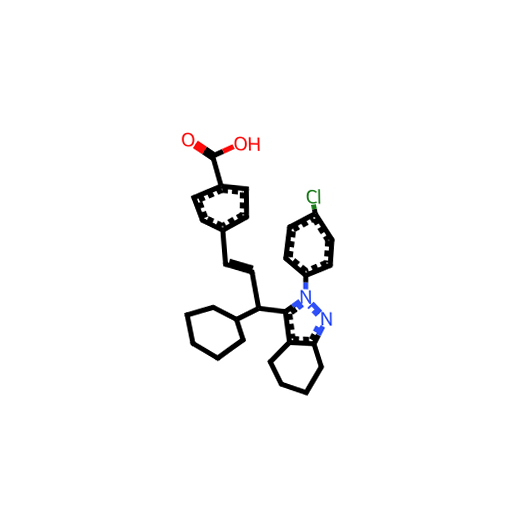 O=C(O)c1ccc(C=CC(c2c3c(nn2-c2ccc(Cl)cc2)CCCC3)C2CCCCC2)cc1